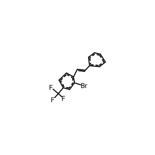 FC(F)(F)c1ccc(C=Cc2ccccc2)c(Br)c1